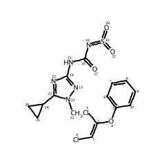 ClC=C(Cl)Oc1ccccc1.Cn1nc(NC(=O)N=S(=O)=O)nc1C1CC1